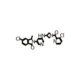 CC1c2cc(Cl)ccc2C(=O)N1c1cncc(NC2CN(C(=O)c3ncccc3Cl)C2)c1